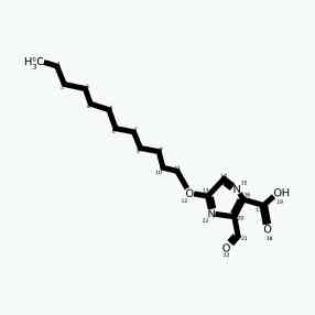 CCCCCCCCCCCCOc1cnc(C(=O)O)c(C=O)n1